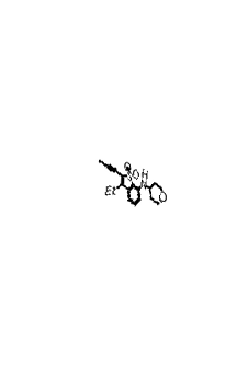 CC#CC1=C(CC)c2cccc(NC3CCOCC3)c2S1(=O)=O